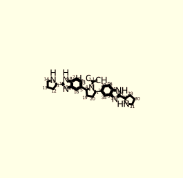 CC(C)N1C(c2ccc3[nH]c([C@@H]4CCCN4)nc3c2)CC[C@@H]1c1ccc2[nH]c(C3CCCN3)nc2c1